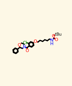 CC(C)(C)OC(=O)NCCCCCCOc1ccc(C(=O)N2CCOC(c3ccccc3)C2)c(Cl)c1